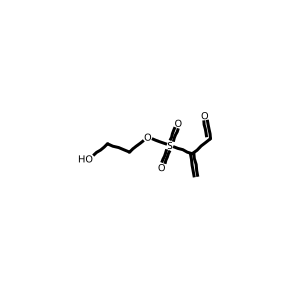 C=C(C=O)S(=O)(=O)OCCO